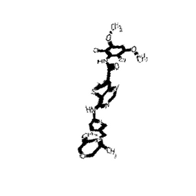 COc1cc(OC)c(Cl)c(NC(=O)c2csc3c(Nc4ccc(CN5C(C)COCC5C)cn4)ncnc23)c1Cl